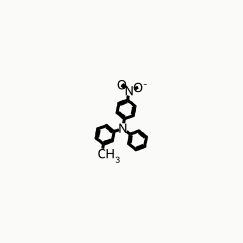 Cc1cccc(N(c2ccccc2)c2ccc([N+](=O)[O-])cc2)c1